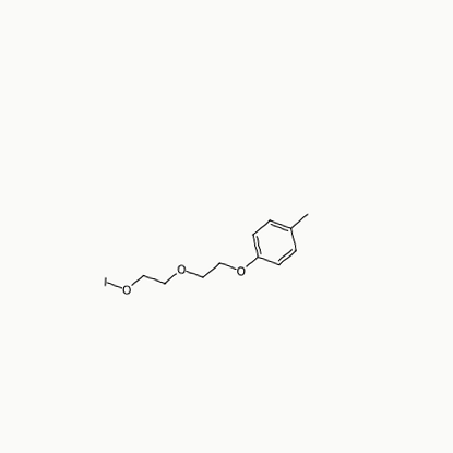 Cc1ccc(OCCOCCOI)cc1